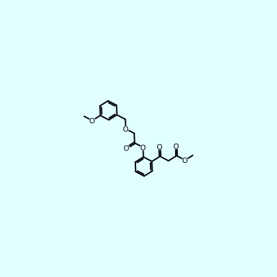 COC(=O)CC(=O)c1ccccc1OC(=O)COCc1cccc(OC)c1